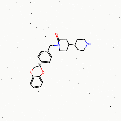 O=C1CC(C2CCNCC2)CCN1Cc1ccc([C@H]2COc3ccccc3O2)cc1